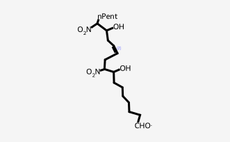 CCCCCC(C(O)C/C=C\CC(C(O)CCCCCC[C]=O)[N+](=O)[O-])[N+](=O)[O-]